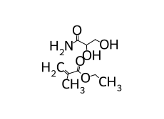 C=C(C)C(=O)OCC.NC(=O)C(O)CO